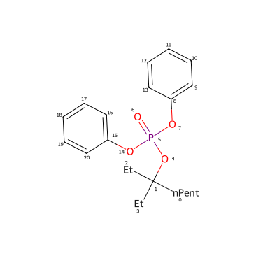 CCCCCC(CC)(CC)OP(=O)(Oc1ccccc1)Oc1ccccc1